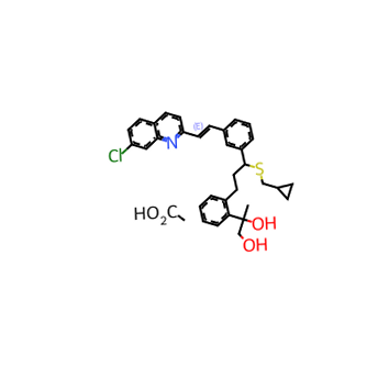 CC(=O)O.CC(O)(CO)c1ccccc1CCC(SCC1CC1)c1cccc(/C=C/c2ccc3ccc(Cl)cc3n2)c1